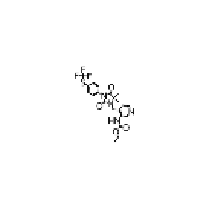 CCOC(=O)Nc1cnccc1CN1C(=O)N(c2ccc(SC(F)(F)F)cc2)C(=O)C1(C)C